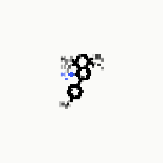 [CH2]c1ccc(-c2ccc3c(c2N)C(C)(C)CCC3(C)C)cc1